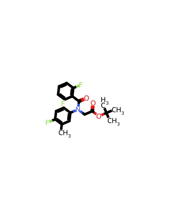 Cc1cc(N(CC(=O)OC(C)(C)C)C(=O)c2c(F)cccc2F)ccc1F